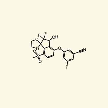 CS(=O)(=O)c1ccc(Oc2cc(F)cc(C#N)c2)c2c1C1(OCCO1)C(F)(F)[C@H]2O